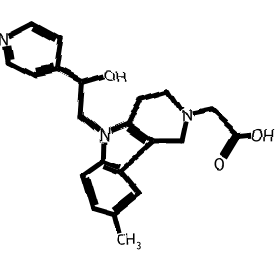 Cc1ccc2c(c1)c1c(n2CC(O)c2ccncc2)CCN(CC(=O)O)C1